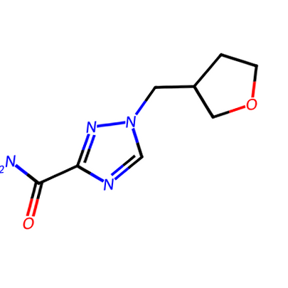 NC(=O)c1ncn(CC2CCOC2)n1